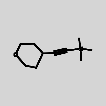 C[Si](C)(C)C#CC1CCOCC1